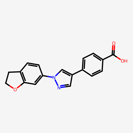 O=C(O)c1ccc(-c2cnn(-c3ccc4c(c3)OCC4)c2)cc1